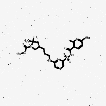 CC(C)(C)OC(=O)N1CC(CCCNc2cncc(S(=O)(=O)NC(=O)c3ccc(C(C)(C)C)nc3F)n2)CC1(C)C